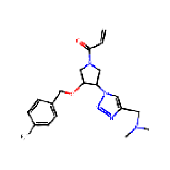 C=CC(=O)N1CC(OCc2ccc(C(F)(F)F)cc2)C(n2cc(CN(C)C)nn2)C1